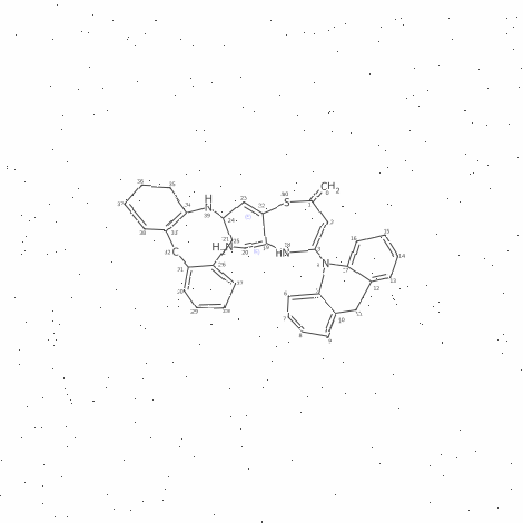 C=C1C=C(N2c3ccccc3Cc3ccccc32)NC(=C/N)/C(=C\C2Cc3ccccc3CC3=C(CCC=C3)N2)S1